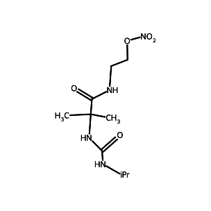 CC(C)NC(=O)NC(C)(C)C(=O)NCCO[N+](=O)[O-]